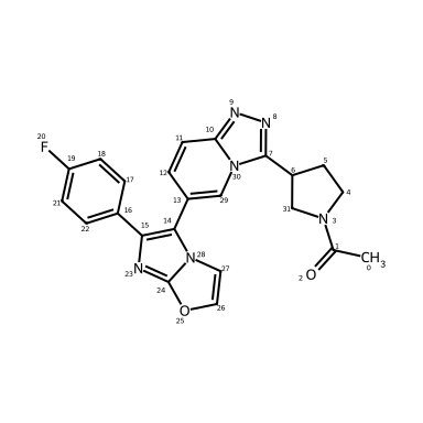 CC(=O)N1CCC(c2nnc3ccc(-c4c(-c5ccc(F)cc5)nc5occn45)cn23)C1